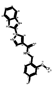 O=C(NCc1ccc(F)cc1OC(F)(F)F)c1cnn(-c2nc3ccccc3s2)c1